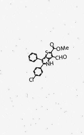 COC(=O)c1sc2c(-c3ccccc3)c(-c3ccc(Cl)cc3)[nH]c2c1C=O